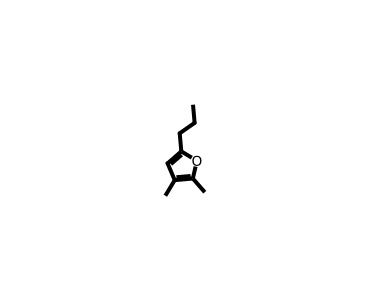 CCCc1cc(C)c(C)o1